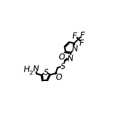 NCc1ccc(C(=O)CSc2nc3nc(C(F)(F)F)ccc3o2)s1